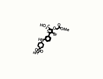 CCCS(=O)(=O)N1CCC(Nc2cccc(-c3sc(C(=O)O)c(OCC(=O)OC)c3Br)c2)CC1